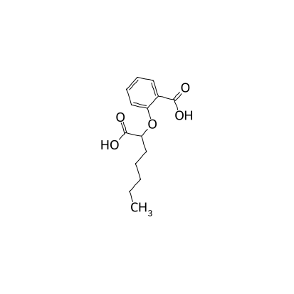 CCCCCC(Oc1ccccc1C(=O)O)C(=O)O